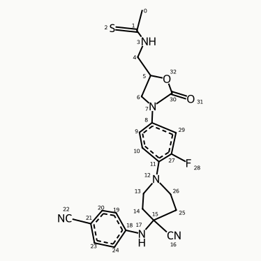 CC(=S)NCC1CN(c2ccc(N3CCC(C#N)(Nc4ccc(C#N)cc4)CC3)c(F)c2)C(=O)O1